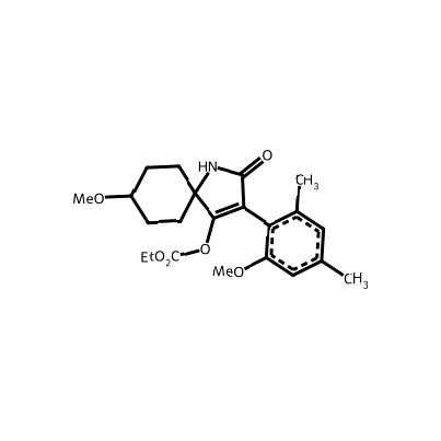 CCOC(=O)OC1=C(c2c(C)cc(C)cc2OC)C(=O)NC12CCC(OC)CC2